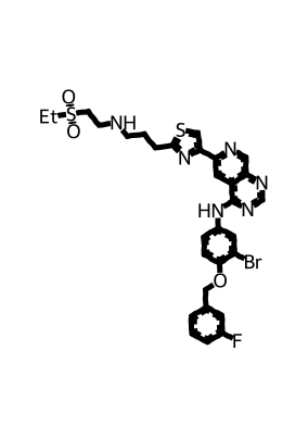 CCS(=O)(=O)CCNCCCc1nc(-c2cc3c(Nc4ccc(OCc5cccc(F)c5)c(Br)c4)ncnc3cn2)cs1